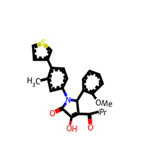 COc1ccccc1C1C(C(=O)C(C)C)=C(O)C(=O)N1c1ccc(-c2ccsc2)c(C)c1